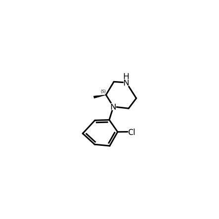 C[C@H]1CNCCN1c1ccccc1Cl